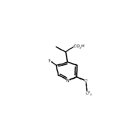 CC(C(=O)O)c1cc(OC(F)(F)F)ncc1F